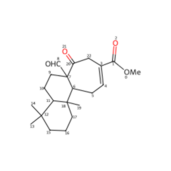 COC(=O)C1=CCC2C(C=O)(CCC3C(C)(C)CCCC32C)C(=O)C1